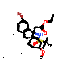 CCOC(=O)CC1(N[S+]([O-])C(C)(C)C)c2cc(Br)ccc2C[C@]12CC[C@@H](OC)CC2